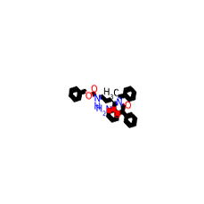 C[C@@H](c1ccccc1)N(C(=O)C(c1ccccc1)c1ccccc1)[C@H](CCCNC(=O)OCc1ccccc1)C(N)=O